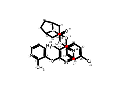 Cc1ncccc1Oc1ncnc(OC2CC3CCC(C2)N3C(=O)Oc2ccc(Cl)cc2)c1C